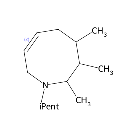 CCCC(C)N1C/C=C\CC(C)C(C)C1C